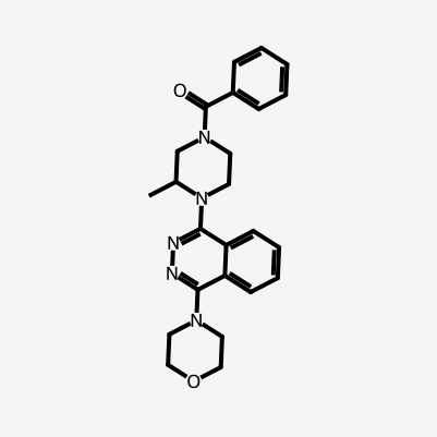 CC1CN(C(=O)c2ccccc2)CCN1c1nnc(N2CCOCC2)c2ccccc12